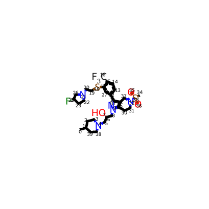 CC1CCN(C[C@H](O)Cn2nc(-c3ccc(C(F)(F)F)c(SCCN4CC[C@H](F)C4)c3)c3c2CCN(S(C)(=O)=O)C3)CC1